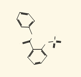 CCCCS(=O)(=O)Oc1ccccc1C(=O)Oc1ccccc1